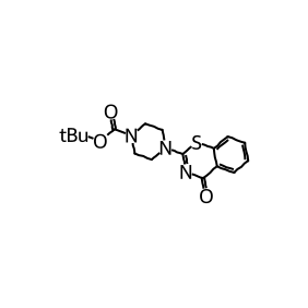 CC(C)(C)OC(=O)N1CCN(c2nc(=O)c3ccccc3s2)CC1